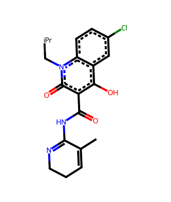 CC1=CCCN=C1NC(=O)c1c(O)c2cc(Cl)ccc2n(CC(C)C)c1=O